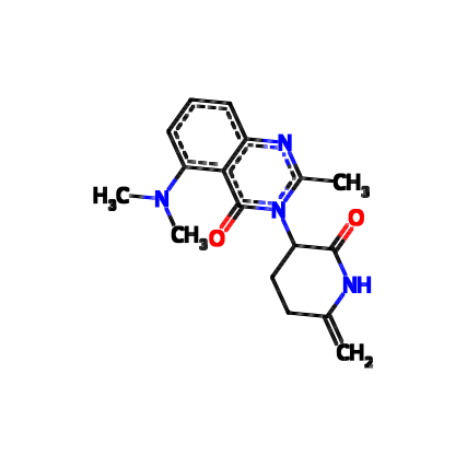 C=C1CCC(n2c(C)nc3cccc(N(C)C)c3c2=O)C(=O)N1